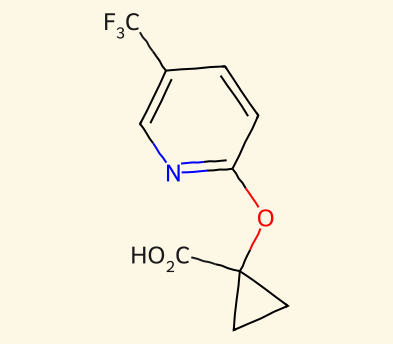 O=C(O)C1(Oc2ccc(C(F)(F)F)cn2)CC1